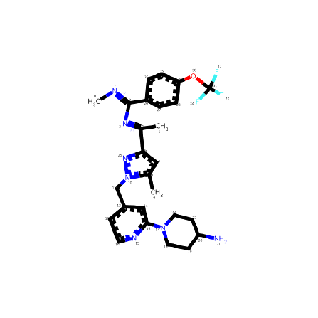 C/N=C(\N=C(/C)c1cc(C)n(Cc2ccnc(N3CCC(N)CC3)c2)n1)c1ccc(OC(F)(F)F)cc1